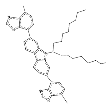 CCCCCCCCC(CCCCCCCC)n1c2cc(-c3ccc(C)c4nsnc34)ccc2c2ccc(-c3ccc(C)c4nsnc34)cc21